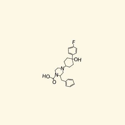 O=C(O)N1CCN(C2CCC(O)(c3ccc(F)cc3)CC2)CC1Cc1ccccc1